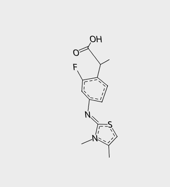 Cc1cs/c(=N\c2ccc(C(C)C(=O)O)c(F)c2)n1C